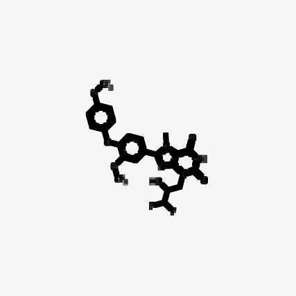 Cn1c(-c2ccc(Oc3ccc(OC(F)(F)F)cc3)c(OC(F)(F)F)c2)nc2c1c(=O)[nH]c(=O)n2CC(O)C(F)F